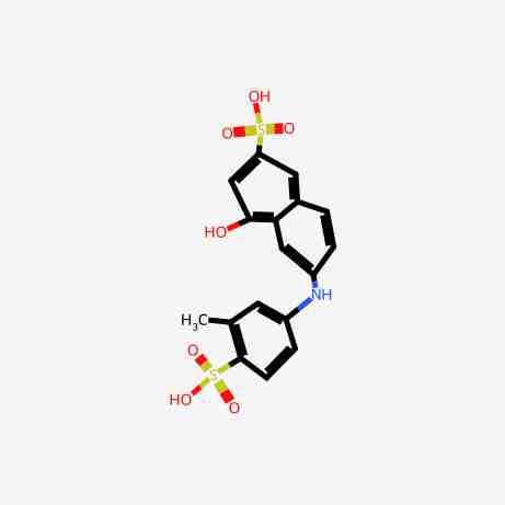 Cc1cc(Nc2ccc3cc(S(=O)(=O)O)cc(O)c3c2)ccc1S(=O)(=O)O